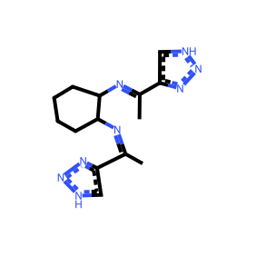 CC(=NC1CCCCC1N=C(C)c1c[nH]nn1)c1c[nH]nn1